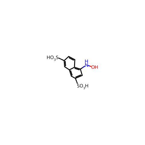 O=S(=O)(O)c1ccc2c(NO)cc(S(=O)(=O)O)cc2c1